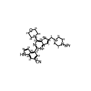 CC(C)N1CCN(Cc2cc3nc(-c4cc(C#N)cc5[nH]ccc45)nc(N4CCOCC4)c3s2)CC1